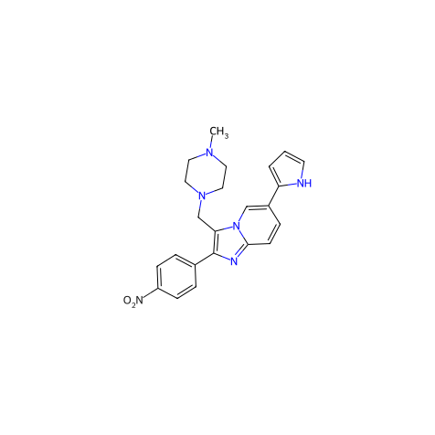 CN1CCN(Cc2c(-c3ccc([N+](=O)[O-])cc3)nc3ccc(-c4ccc[nH]4)cn23)CC1